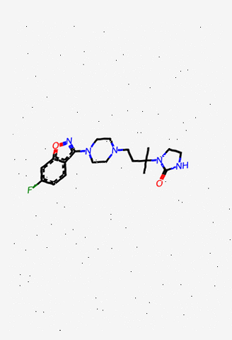 CC(C)(CCN1CCN(c2noc3cc(F)ccc23)CC1)N1CCNC1=O